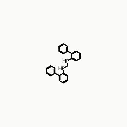 c1ccc(-c2ccccc2PCPc2ccccc2-c2ccccc2)cc1